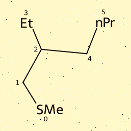 [CH]SCC(CC)CCCC